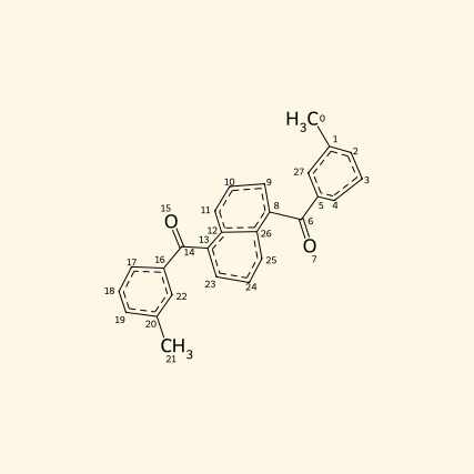 Cc1cccc(C(=O)c2cccc3c(C(=O)c4cccc(C)c4)cccc23)c1